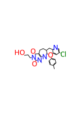 Cc1ccc(OC2=Nc3c(c(=O)n(CCCO)c(=O)n3C)CCC2Cc2ccc(Cl)cn2)cc1